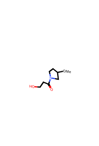 COC1CCN(C(=O)CCO)C1